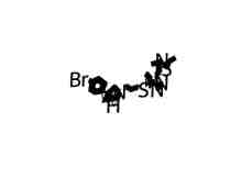 Cc1nc(C)c(-c2nnc(SCCCN3C[C@H]4C[C@]4(c4ccc(Br)cc4)C3)n2C)s1